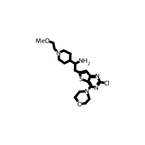 COCCN1CCC(C(N)Cc2cc3nc(Cl)nc(N4CCOCC4)c3s2)CC1